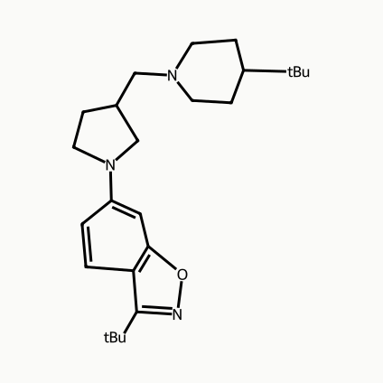 CC(C)(C)c1noc2cc(N3CCC(CN4CCC(C(C)(C)C)CC4)C3)ccc12